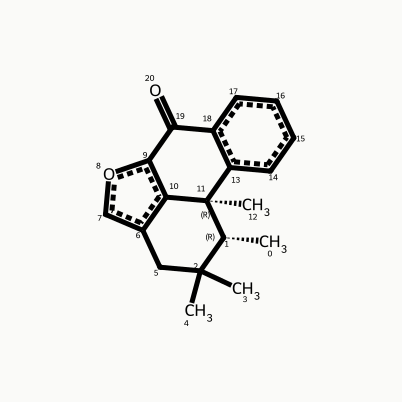 C[C@@H]1C(C)(C)Cc2coc3c2[C@@]1(C)c1ccccc1C3=O